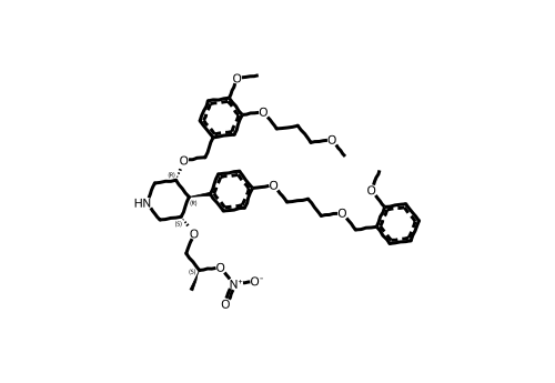 COCCCOc1cc(CO[C@H]2CNC[C@@H](OC[C@H](C)O[N+](=O)[O-])[C@@H]2c2ccc(OCCCOCc3ccccc3OC)cc2)ccc1OC